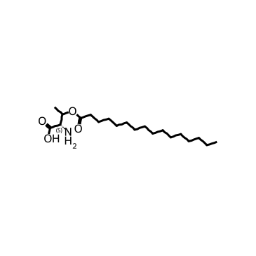 CCCCCCCCCCCCCCCC(=O)OC(C)[C@H](N)C(=O)O